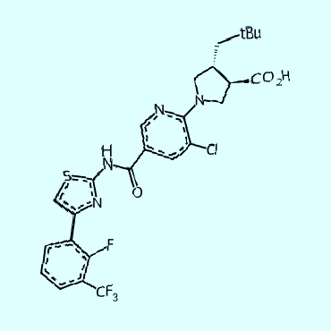 CC(C)(C)C[C@H]1CN(c2ncc(C(=O)Nc3nc(-c4cccc(C(F)(F)F)c4F)cs3)cc2Cl)C[C@@H]1C(=O)O